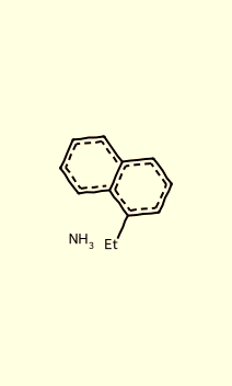 CCc1cccc2ccccc12.N